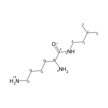 CC(C)CCNC(=O)C(N)CCCCN